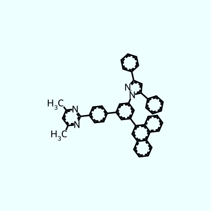 Cc1cc(C)nc(-c2ccc(-c3cc(-c4cc5ccccc5c5ccccc45)cc(-n4nc(-c5ccccc5)cc4-c4ccccc4)c3)cc2)n1